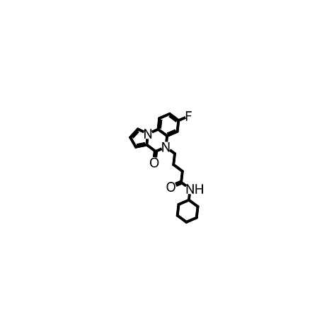 O=C(CCCn1c(=O)c2cccn2c2ccc(F)cc21)NC1CCCCC1